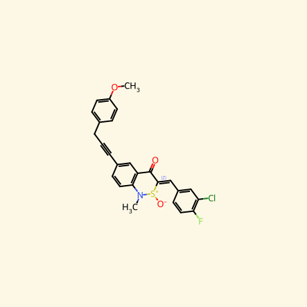 COc1ccc(CC#Cc2ccc3c(c2)C(=O)/C(=C/c2ccc(F)c(Cl)c2)[S+]([O-])N3C)cc1